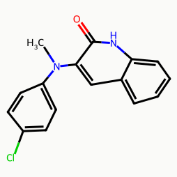 CN(c1ccc(Cl)cc1)c1cc2ccccc2[nH]c1=O